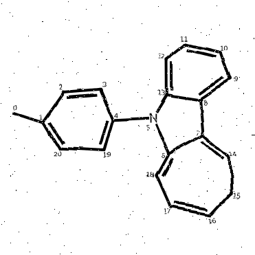 Cc1ccc(-n2c3c(c4ccccc42)=CCC=CC=3)cc1